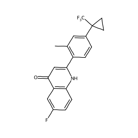 Cc1cc(C2(C(F)(F)F)CC2)ccc1-c1cc(=O)c2cc(F)ccc2[nH]1